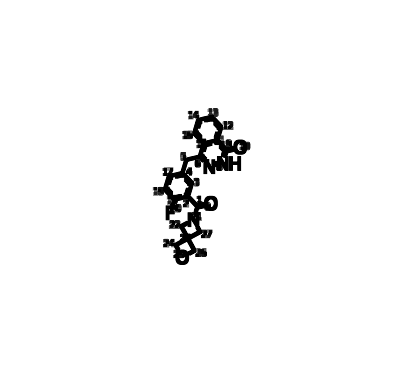 O=C(c1cc(Cc2n[nH]c(=O)c3ccccc23)ccc1F)N1CC2(COC2)C1